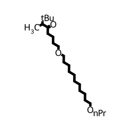 CCCOCCCCCCCCCCCOCCCCC(=O)C(C)C(C)(C)C